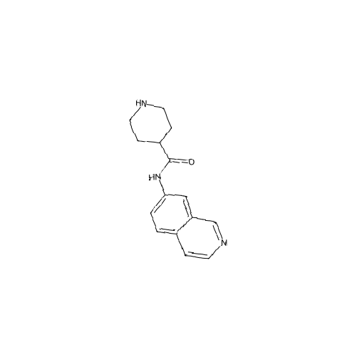 O=C(Nc1ccc2ccncc2c1)C1CCNCC1